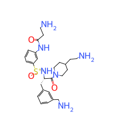 NCCC(=O)Nc1cccc([S+]([O-])N[C@@H](Cc2cccc(CN)c2)C(=O)N2CCC(CCN)CC2)c1